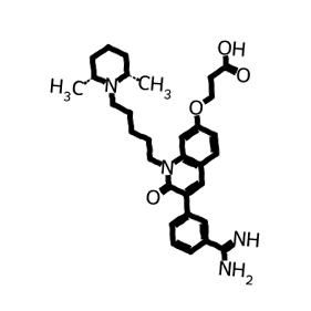 C[C@@H]1CCC[C@H](C)N1CCCCCn1c(=O)c(-c2cccc(C(=N)N)c2)cc2ccc(OCCC(=O)O)cc21